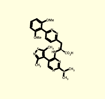 COc1cccc(OC)c1-c1ccc(C[C@H](Nc2nc(N(C)C)ncc2-c2c(C)nsc2C)C(=O)O)nn1